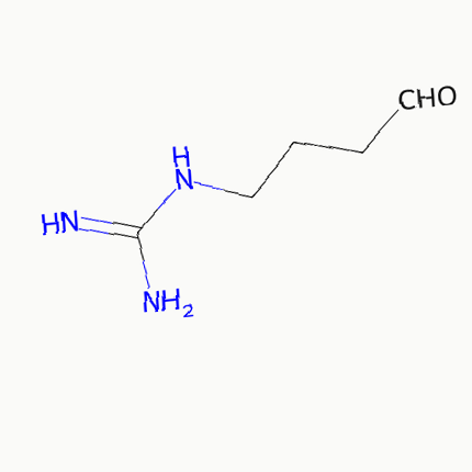 N=C(N)NCCCC=O